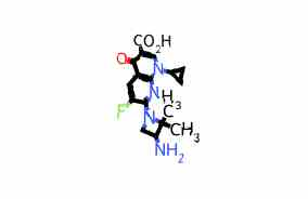 CC1(C)C(N)CN1c1nc2c(cc1F)c(=O)c(C(=O)O)cn2C1CC1